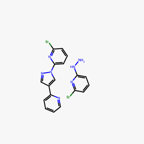 Brc1cccc(-n2cc(-c3ccccn3)cn2)n1.NNc1cccc(Br)n1